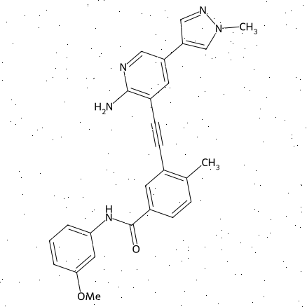 COc1cccc(NC(=O)c2ccc(C)c(C#Cc3cc(-c4cnn(C)c4)cnc3N)c2)c1